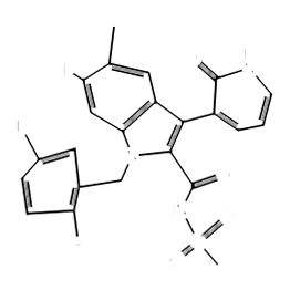 Cc1cc2c(-c3ccc[nH]c3=O)c(C(=O)NS(C)(=O)=O)n(Cc3cc(F)ccc3F)c2cc1F